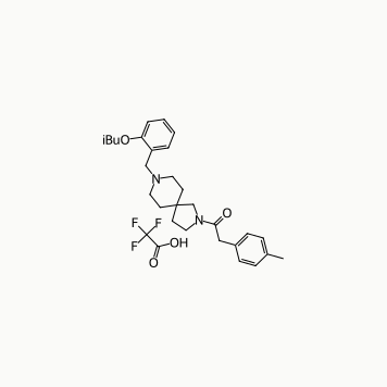 Cc1ccc(CC(=O)N2CCC3(CCN(Cc4ccccc4OCC(C)C)CC3)C2)cc1.O=C(O)C(F)(F)F